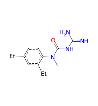 CCc1ccc(N(C)C(=O)NC(=N)N)c(CC)c1